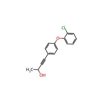 CC(O)C#Cc1ccc(Oc2ccccc2Cl)cc1